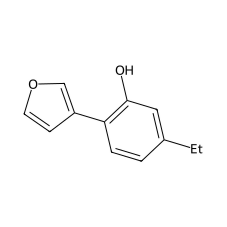 CCc1ccc(-c2ccoc2)c(O)c1